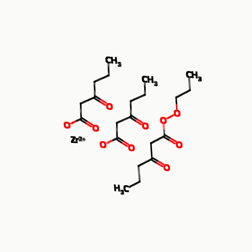 CCCC(=O)CC(=O)[O-].CCCC(=O)CC(=O)[O-].CCCOOC(=O)CC(=O)CCC.[Zr+2]